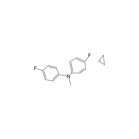 C1CC1.CN(c1ccc(F)cc1)c1ccc(F)cc1